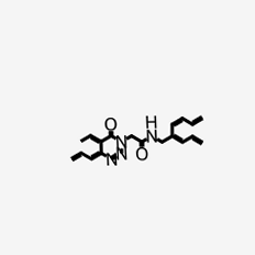 C=C/C=C\C(=C/C=C)CNC(=O)Cn1nnc(=C/C=C)/c(=C\C)c1=O